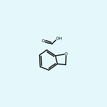 O=CO.c1ccc2c(c1)CO2